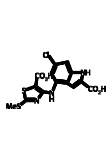 CSc1nc(Nc2cc(Cl)cc3[nH]c(C(=O)O)cc23)c(C(=O)O)s1